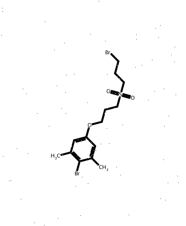 Cc1cc(OCCCS(=O)(=O)CCCBr)cc(C)c1Br